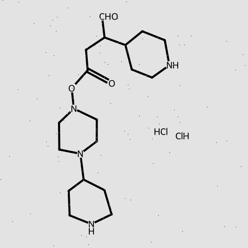 Cl.Cl.O=CC(CC(=O)ON1CCN(C2CCNCC2)CC1)C1CCNCC1